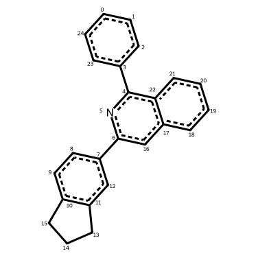 c1ccc(-c2nc(-c3ccc4c(c3)CCC4)cc3ccccc23)cc1